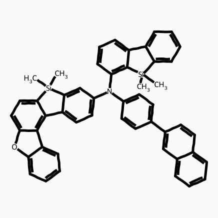 C[Si]1(C)c2cc(N(c3ccc(-c4ccc5ccccc5c4)cc3)c3cccc4c3[Si](C)(C)c3ccccc3-4)ccc2-c2c1ccc1oc3ccccc3c21